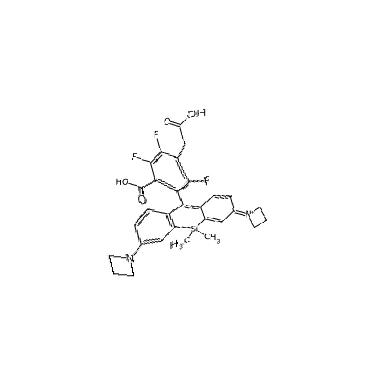 C[Si]1(C)C2=CC(=[N+]3CCC3)C=CC2=C(c2c(F)c(CC(=O)O)c(F)c(F)c2C(=O)O)c2ccc(N3CCC3)cc21